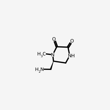 CN1C(=O)C(=O)NC[C@H]1CN